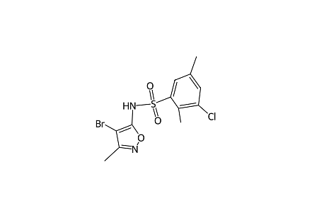 Cc1cc(Cl)c(C)c(S(=O)(=O)Nc2onc(C)c2Br)c1